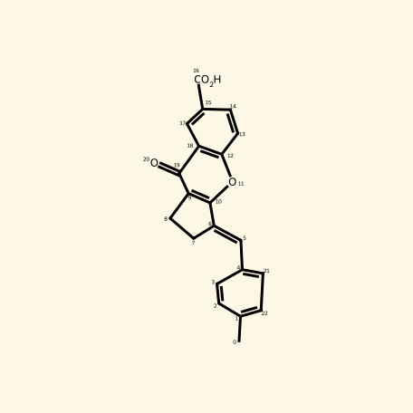 Cc1ccc(C=C2CCc3c2oc2ccc(C(=O)O)cc2c3=O)cc1